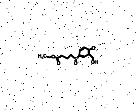 CCOC(=O)CCC[S+]([O-])c1ccc(Cl)c(CO)c1